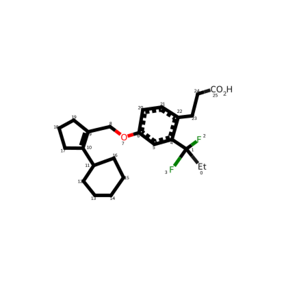 CCC(F)(F)c1cc(OCC2=C(C3CCCCC3)CCC2)ccc1CCC(=O)O